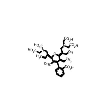 C=C/C(CN(CC(=O)O)C(=O)O)=C1/OC(=C(/CO)CN(CC(=O)O)CC(=O)O)/C(=C\C)C(c2ccccc2C(=O)O)=C1C=O